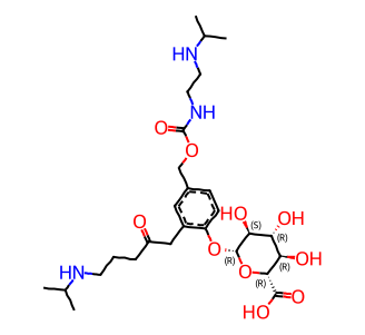 CC(C)NCCCC(=O)Cc1cc(COC(=O)NCCNC(C)C)ccc1O[C@H]1O[C@@H](C(=O)O)[C@H](O)[C@@H](O)[C@@H]1O